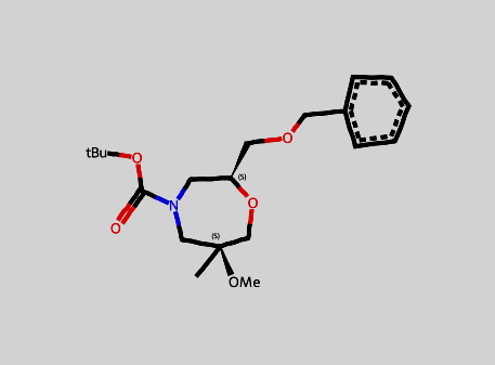 CO[C@]1(C)CO[C@H](COCc2ccccc2)CN(C(=O)OC(C)(C)C)C1